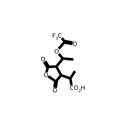 CC(OC(=O)C(F)(F)F)C1C(=O)OC(=O)C1C(C)C(=O)O